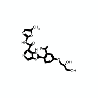 Cc1cnc(NC(=O)c2cncc3nc(-c4ccc(OC[C@@H](O)CO)cc4C(F)F)[nH]c23)s1